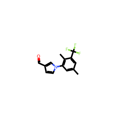 Cc1cc(-n2ccc(C=O)c2)c(C)c(C(F)(F)F)c1